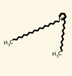 CCCCCCCCCCCCCCCCCCC[n+]1ccccc1CCCCCCCCCCCC